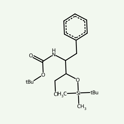 CC(C)(C)OC(=O)NC(Cc1ccccc1)C(CCl)O[Si](C)(C)C(C)(C)C